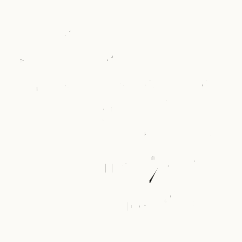 CC1=CC[C@@H](C(C)(C)O)C[C@@H]1OC(=O)Cc1ccccc1